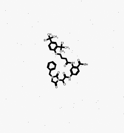 CCC(C)(C)c1ccc(OCCCC(=O)Nc2cc(NC(=O)C(Cl)N3C(=O)CN(Cc4ccccc4)C3=O)ccc2C(=O)C(C)(C)C)c(C(C)(C)CC)c1